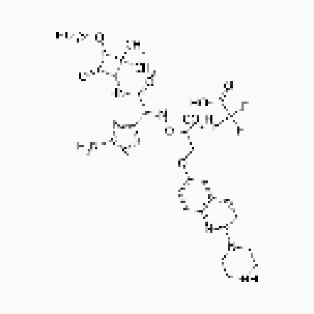 CC1(C)C(NC(=O)C(=NOC(COc2ccc3nc(N4CCNCC4)ccc3c2)C(=O)O)c2csc(N)n2)C(=O)N1OS(=O)(=O)O.O=C(O)C(F)(F)F